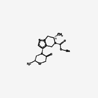 CC1CN(c2cnn3c2CN(C(=O)OC(C)(C)C)[C@@H](C)C3)C(=O)CO1